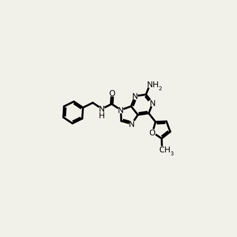 Cc1ccc(-c2nc(N)nc3c2ncn3C(=O)NCc2ccccc2)o1